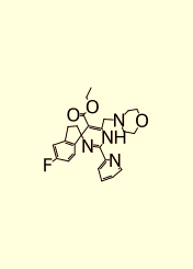 CCOC(=O)C1=C(CN2CCOCC2)NC(c2ccccn2)=NC12CCc1cc(F)ccc12